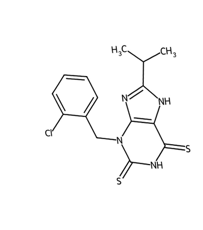 CC(C)c1nc2c([nH]1)c(=S)[nH]c(=S)n2Cc1ccccc1Cl